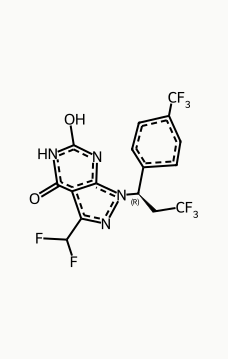 O=c1[nH]c(O)nc2c1c(C(F)F)nn2[C@H](CC(F)(F)F)c1ccc(C(F)(F)F)cc1